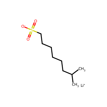 CC(C)CCCCCCS(=O)(=O)[O-].[Li+]